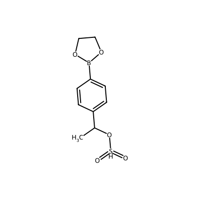 CC(O[SH](=O)=O)c1ccc(B2OCCO2)cc1